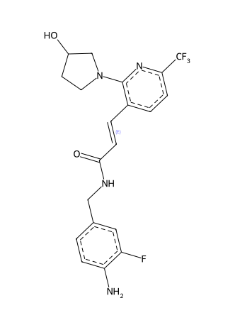 Nc1ccc(CNC(=O)/C=C/c2ccc(C(F)(F)F)nc2N2CCC(O)C2)cc1F